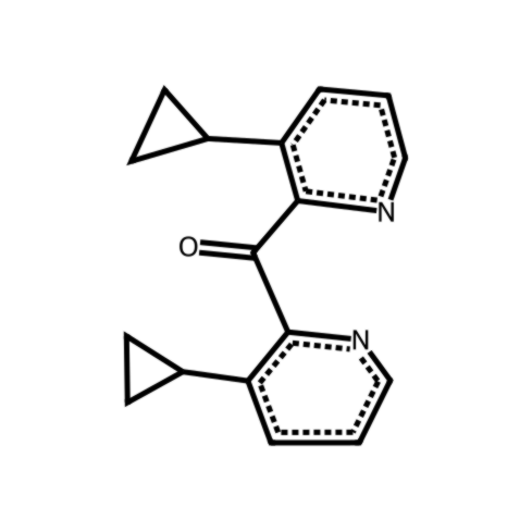 O=C(c1ncccc1C1CC1)c1ncccc1C1CC1